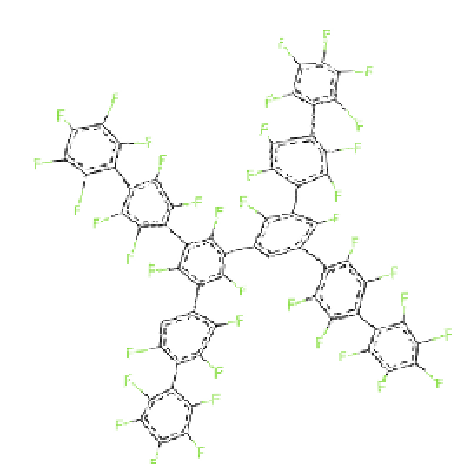 Fc1cc(-c2c(F)c(-c3cc(-c4c(F)c(F)c(-c5c(F)c(F)c(F)c(F)c5F)c(F)c4F)c(F)c(-c4c(F)c(F)c(-c5c(F)c(F)c(F)c(F)c5F)c(F)c4F)c3F)c(F)c(-c3c(F)c(F)c(-c4c(F)c(F)c(F)c(F)c4F)c(F)c3F)c2F)c(F)c(F)c1-c1c(F)c(F)c(F)c(F)c1F